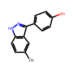 N#Cc1ccc2[nH]nc(-c3ccc(O)cc3)c2c1